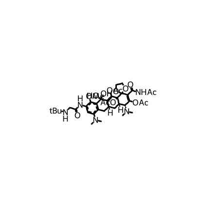 COc1c(NC(=O)CNC(C)(C)C)cc(N(C)C)c2c1C(O)(O)C1=C(OC(C)=O)[C@@]3(OC(C)=O)[C@@H](C[C@@H]1C2)[C@H](N(C)C)C(OC(C)=O)=C(C(=O)NC(C)=O)C31OCCO1